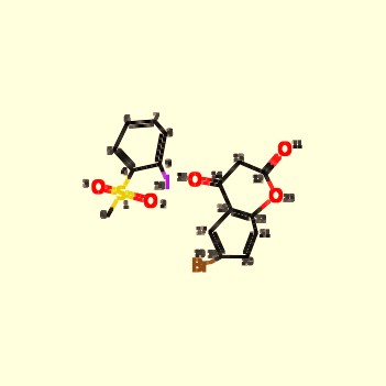 CS(=O)(=O)c1ccccc1I.O=C1CC(=O)c2cc(Br)ccc2O1